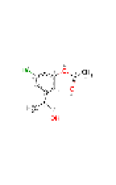 [CH2]C(CO)c1cc(Br)cc(OC(C)=O)c1